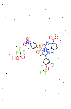 COC(=O)c1cccc2c(N[C@@H](c3ccc(OC(F)(F)F)c(Cl)c3)C(C)NS(=O)(=O)c3ccc([N+](=O)[O-])cc3)nc(C)nc12.O=C(O)C(F)(F)F